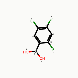 OB(O)c1cc(Cl)c(Br)cc1F